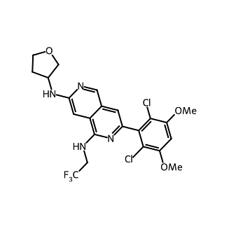 COc1cc(OC)c(Cl)c(-c2cc3cnc(NC4CCOC4)cc3c(NCC(F)(F)F)n2)c1Cl